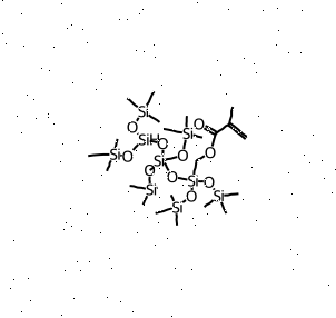 C=C(C)C(=O)OC[Si](O[Si](C)(C)C)(O[Si](C)(C)C)O[Si](O[SiH](O[Si](C)(C)C)O[Si](C)(C)C)(O[Si](C)(C)C)O[Si](C)(C)C